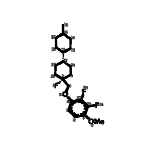 COc1ccc(OC[C@]2(F)CC[C@@H](C3CCC(C)CC3)CC2)c(F)c1F